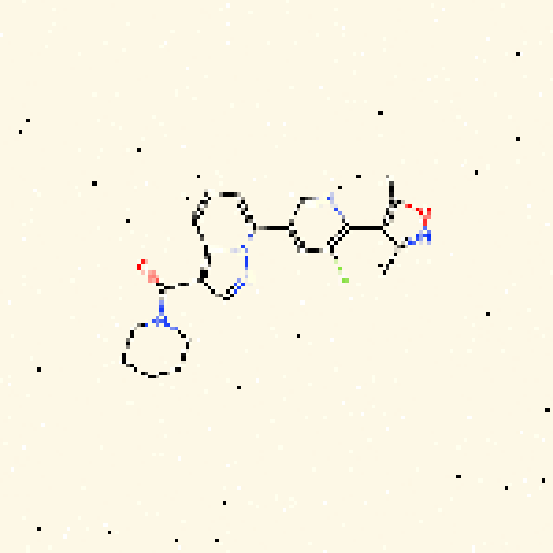 Cc1noc(C)c1-c1ncc(-c2cccc3c(C(=O)N4CCCCC4)cnn23)cc1F